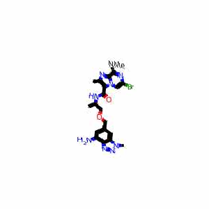 CNc1nc(Br)cn2c(C(=O)NC(C)COCc3cc(N)c4nnn(C)c4c3)c(C)nc12